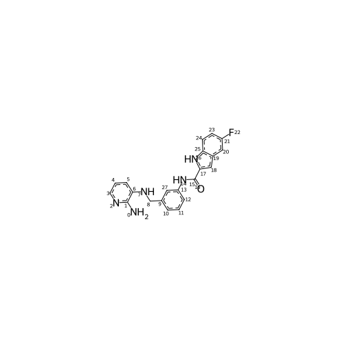 Nc1ncccc1NCc1cccc(NC(=O)c2cc3cc(F)ccc3[nH]2)c1